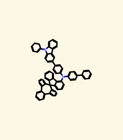 C1=CCCC(n2c3ccccc3c3cc(-c4ccc(N(c5ccc(-c6ccccc6)cc5)c5cccc6c5-c5ccccc5C65c6ccccc6-c6ccccc6-c6ccccc65)cc4)ccc32)=C1